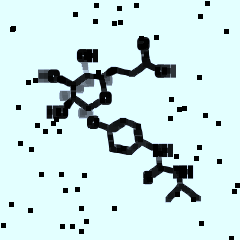 CC(C)NC(=S)Nc1ccc(O[C@H]2O[C@H](CCC(=O)O)[C@@H](O)[C@H](O)[C@@H]2O)cc1